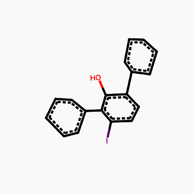 Oc1c(-c2ccccc2)ccc(I)c1-c1ccccc1